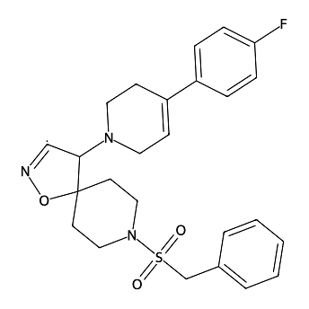 O=S(=O)(Cc1ccccc1)N1CCC2(CC1)ON=[C]C2N1CC=C(c2ccc(F)cc2)CC1